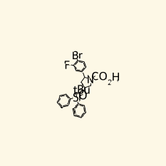 CC(C)(C)[Si](OC1CC(c2ccc(Br)c(F)c2)N(C(=O)O)C1)(c1ccccc1)c1ccccc1